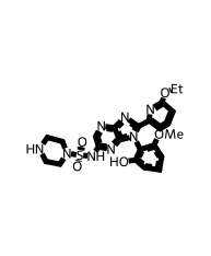 CCOC1=NC(c2nc3ncc(NS(=O)(=O)N4CCNCC4)nc3n2-c2c(O)cccc2OC)=C=C=C1